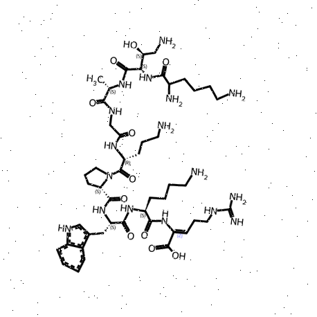 C[C@H](NC(=O)[C@@H](NC(=O)C(N)CCCCN)[C@@H](O)CN)C(=O)NCC(=O)N[C@H](CCCN)C(=O)N1CCC[C@H]1C(=O)N[C@@H](Cc1c[nH]c2ccccc12)C(=O)N[C@@H](CCCCN)C(=O)N/C(=C\CCNC(=N)N)C(=O)O